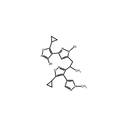 CCn1nc(-c2c(C(C)C)noc2C2CC2)cc1CC(C)c1noc(C2CC2)c1-c1cnn(C)c1